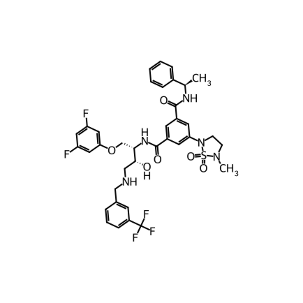 C[C@@H](NC(=O)c1cc(C(=O)N[C@@H](COc2cc(F)cc(F)c2)[C@H](O)CNCc2cccc(C(F)(F)F)c2)cc(N2CCN(C)S2(=O)=O)c1)c1ccccc1